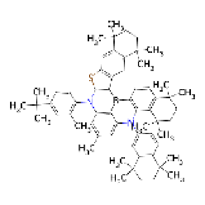 Cc1cc2c3c(c1)N(c1ccc4c(c1)C(C)(C)CCC4(C)C)c1c(ccc4c1C(C)(C)CCC4(C)C)B3c1c(sc3cc4c(cc13)C(C)(C)CCC4(C)C)N2c1ccc(C(C)(C)C)cc1C